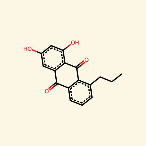 CCCc1cccc2c1C(=O)c1c(O)cc(O)cc1C2=O